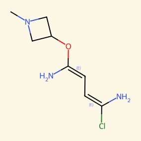 CN1CC(O/C(N)=C/C=C(\N)Cl)C1